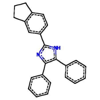 c1ccc(-c2nc(-c3ccc4c(c3)CCC4)[nH]c2-c2ccccc2)cc1